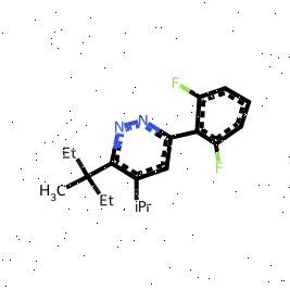 CCC(C)(CC)c1nnc(-c2c(F)cccc2F)cc1C(C)C